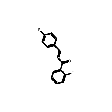 O=C(C=Cc1ccc(F)cc1)c1ccccc1F